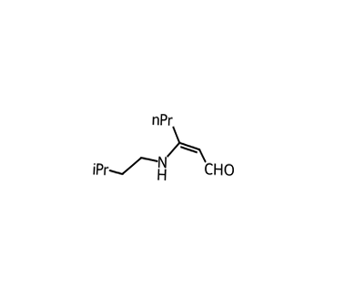 CCC/C(=C/C=O)NCCC(C)C